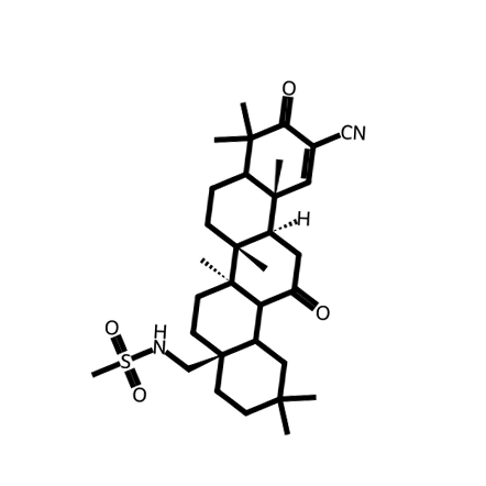 CC1(C)CC[C@]2(CNS(C)(=O)=O)CC[C@]3(C)C(C(=O)C[C@@H]4[C@@]5(C)C=C(C#N)C(=O)C(C)(C)C5CC[C@]43C)C2C1